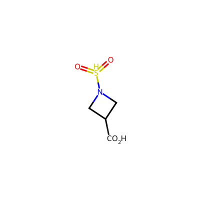 O=C(O)C1CN([SH](=O)=O)C1